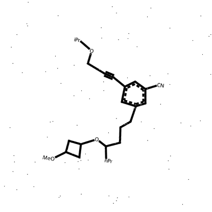 CCCC(CCCc1cc(C#N)cc(C#CCOC(C)C)c1)OC1CC(OC)C1